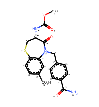 CC(C)(C)OC(=O)N[C@H]1CSc2ccc(C(=O)O)cc2N(Cc2ccc(C(N)=O)cc2)C1=O